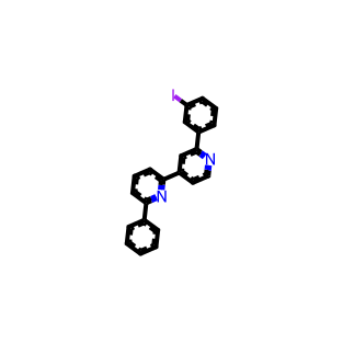 Ic1cccc(-c2cc(-c3cccc(-c4ccccc4)n3)ccn2)c1